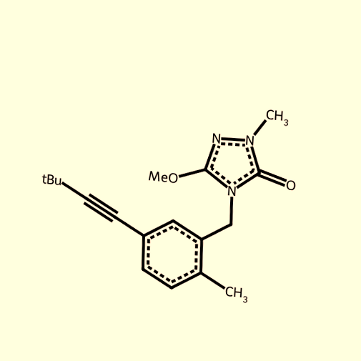 COc1nn(C)c(=O)n1Cc1cc(C#CC(C)(C)C)ccc1C